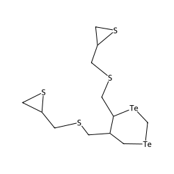 C1[Te]CC(CSCC2CS2)C(CSCC2CS2)[Te]1